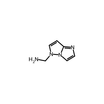 NCn1ccc2nccn21